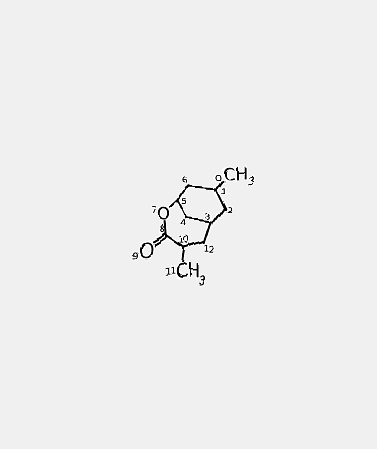 CC1CC2CC(C1)OC(=O)C(C)C2